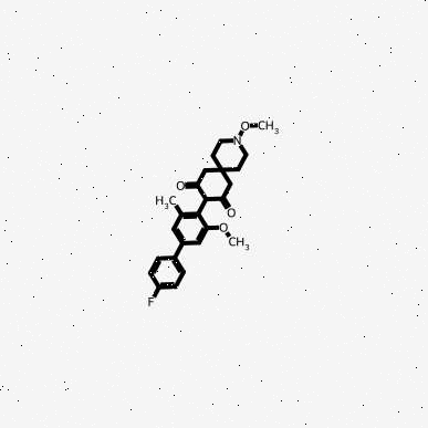 COc1cc(-c2ccc(F)cc2)cc(C)c1C1C(=O)CC2(CCN(OC)CC2)CC1=O